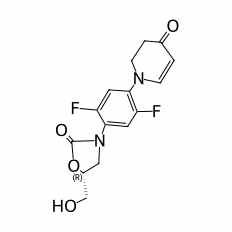 O=C1C=CN(c2cc(F)c(N3C[C@H](CO)OC3=O)cc2F)CC1